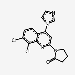 O=C1CCCN1c1cc(-n2ccnc2)c2ccc(Cl)c(Cl)c2n1